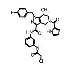 C[C@@H]1CN(C(=O)c2ccc[nH]2)Cc2c(C(=O)Nc3cccc(NC(=O)CCl)c3)nn(Cc3ccc(F)cc3)c21